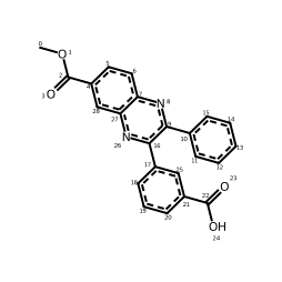 COC(=O)c1ccc2nc(-c3ccccc3)c(-c3cccc(C(=O)O)c3)nc2c1